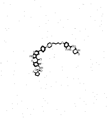 O=C1CC[C@H](NC(=O)c2ccc(OCCCCN3CCN(c4ccc(-c5cnc6[nH]cc(C(=O)c7c(F)ccc(NS(=O)(=O)N8CCCC8F)c7F)c6c5)cc4)CC3)cc2F)C(=O)N1